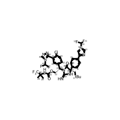 CC(C)(C)C[C@]1(c2ccc(-c3cn(C(F)F)cn3)cc2)NC(=N)N([C@H](COC(=O)NC(C)(C)C(F)(F)F)c2ccc(Cl)c(-c3nncn3C(F)F)c2)C1=O